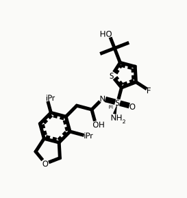 CC(C)c1cc2c(c(C(C)C)c1CC(O)N=[S@@](N)(=O)c1sc(C(C)(C)O)cc1F)COC2